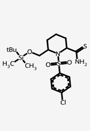 CC(C)(C)[Si](C)(C)OCC1CCCC(C(N)=S)N1S(=O)(=O)c1ccc(Cl)cc1